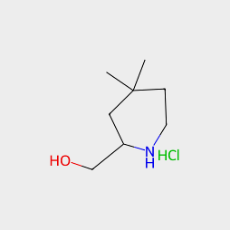 CC1(C)CCNC(CO)C1.Cl